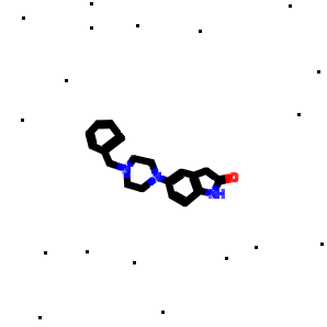 O=C1Cc2cc(N3CCN(Cc4ccccc4)CC3)ccc2N1